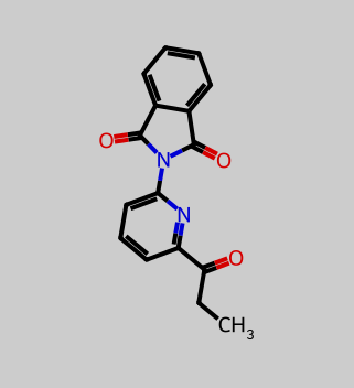 CCC(=O)c1cccc(N2C(=O)c3ccccc3C2=O)n1